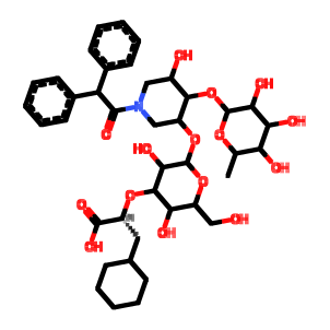 CC1OC(OC2C(O)CN(C(=O)C(c3ccccc3)c3ccccc3)CC2OC2OC(CO)C(O)C(O[C@H](CC3CCCCC3)C(=O)O)C2O)C(O)C(O)C1O